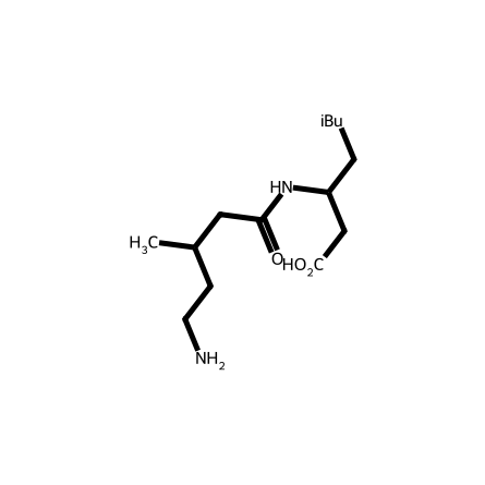 CCC(C)CC(CC(=O)O)NC(=O)CC(C)CCN